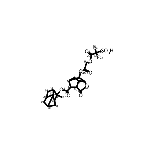 CC1(OC(=O)C2C3CC4C(OC(=O)C42)C3OC(=O)COC(=O)C(F)(F)S(=O)(=O)O)C2CC3CC(C2)CC1C3